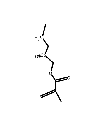 C=C(C)C(=O)O[CH2][Co](=[O])[CH2][SiH2]C